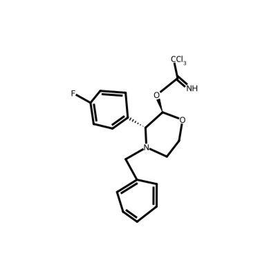 N=C(O[C@H]1OCCN(Cc2ccccc2)[C@@H]1c1ccc(F)cc1)C(Cl)(Cl)Cl